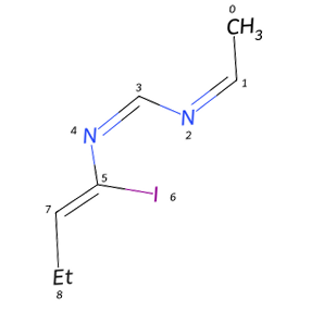 C\C=N/C=N\C(I)=C\CC